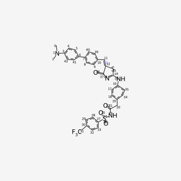 CN(C)c1ccc(-c2ccc(/C=C3/SC(Nc4ccc(CC(=O)NS(=O)(=O)c5ccc(C(F)(F)F)cc5)cc4)=NC3=O)cc2)cc1